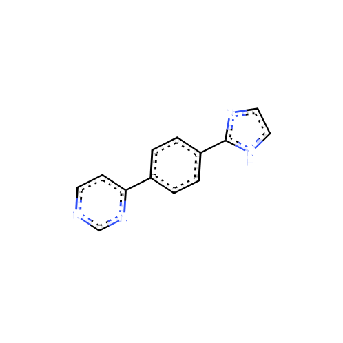 [c]1nccc(-c2ccc(-c3ncc[nH]3)cc2)n1